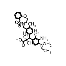 CCN(N)c1ccc(C(c2ccc(C)c(CN3CCOc4ccccc4S3(=O)=O)c2)C(C)(C)C(=O)O)c(C)c1N